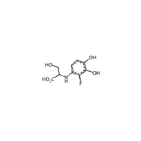 O=C(O)C(CO)Nc1ccc(O)c(O)c1F